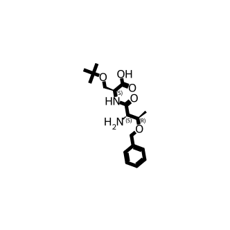 C[C@@H](OCc1ccccc1)[C@H](N)C(=O)N[C@@H](COC(C)(C)C)C(=O)O